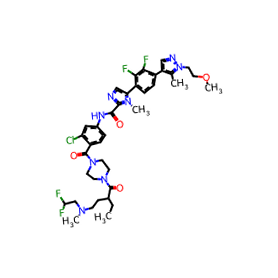 CCC(CCN(C)CC(F)F)C(=O)N1CCN(C(=O)c2ccc(NC(=O)c3ncc(-c4ccc(-c5cnn(CCOC)c5C)c(F)c4F)n3C)cc2Cl)CC1